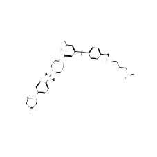 CN(C)CCCNC(=O)c1ccc(C(F)(F)c2cc(Cl)nc(N3CCN(S(=O)(=O)c4ccc(N5C[C@H](N)CC5=O)cc4)CC3)c2)cc1